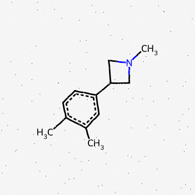 Cc1ccc(C2CN(C)C2)cc1C